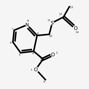 COC(=O)c1cccnc1CSC(C)=O